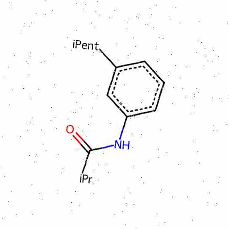 CCCC(C)c1cccc(NC(=O)C(C)C)c1